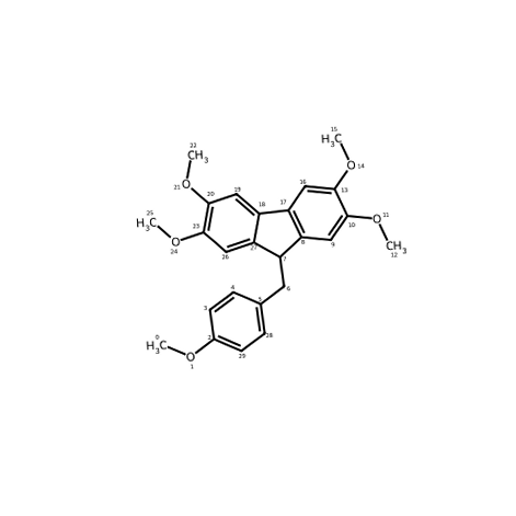 COc1ccc(CC2c3cc(OC)c(OC)cc3-c3cc(OC)c(OC)cc32)cc1